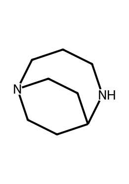 C1CNC2CCN(C1)CC2